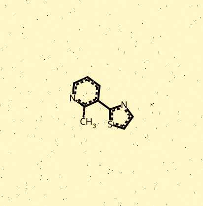 Cc1ncccc1-c1nccs1